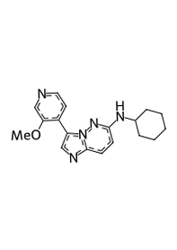 COc1cnccc1-c1cnc2ccc(NC3CCCCC3)nn12